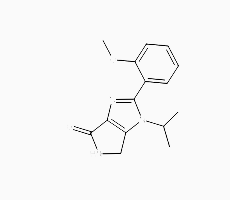 COc1ccccc1-c1nc2c(n1C(C)C)CNC2=O